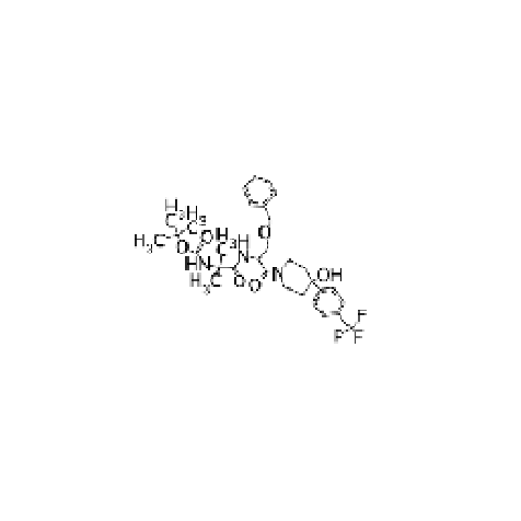 CC(C)(C)OC(=O)NC(C)(C)C(=O)NC(COCc1ccccc1)C(=O)N1CCC(O)(c2ccc(C(F)(F)F)cc2)CC1